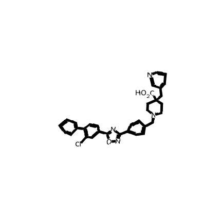 O=C(O)C1(Cc2cccnc2)CCN(Cc2ccc(-c3noc(-c4ccc(-c5ccccc5)c(Cl)c4)n3)cc2)CC1